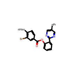 CCCCCCc1ccc(C(=O)Oc2ccccc2-c2ncc(CCC)cn2)cc1Br